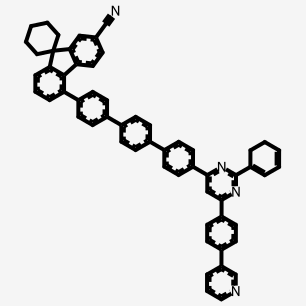 N#Cc1ccc2c(c1)C1(CCCCC1)c1cccc(-c3ccc(-c4ccc(-c5ccc(-c6cc(-c7ccc(-c8cccnc8)cc7)nc(C7=CC=CCC7)n6)cc5)cc4)cc3)c1-2